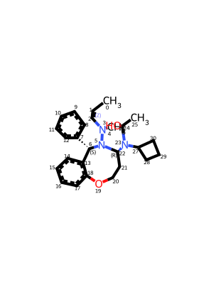 C/C=C\N(C)N1[C@@H](c2ccccc2)c2ccccc2OCC[C@@H]1N(C(C)O)C1CCC1